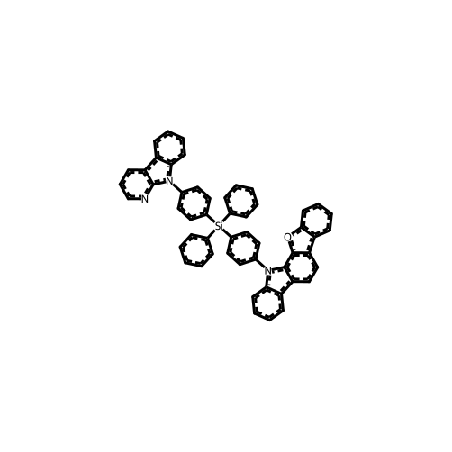 c1ccc([Si](c2ccccc2)(c2ccc(-n3c4ccccc4c4cccnc43)cc2)c2ccc(-n3c4ccccc4c4ccc5c6ccccc6oc5c43)cc2)cc1